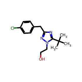 CC(C)(C)c1nc(Cc2ccc(Cl)cc2)nn1CCO